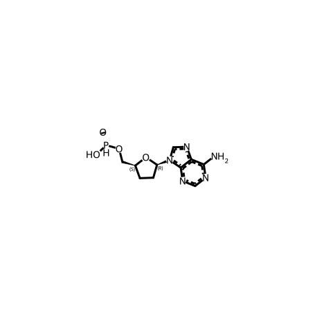 Nc1ncnc2c1ncn2[C@H]1CC[C@@H](CO[PH](=O)O)O1